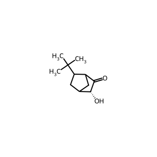 CC(C)(C)C1CC2CC1C(=O)[C@@H]2O